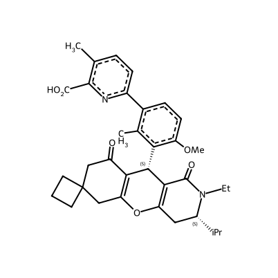 CCN1C(=O)C2=C(C[C@H]1C(C)C)OC1=C(C(=O)CC3(CCC3)C1)[C@@H]2c1c(OC)ccc(-c2ccc(C)c(C(=O)O)n2)c1C